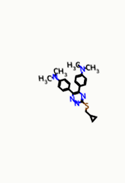 CN(C)c1ccc(-c2nnc(SCC3CC3)nc2-c2ccc(N(C)C)cc2)cc1